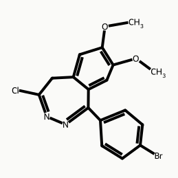 COc1cc2c(cc1OC)C(c1ccc(Br)cc1)=NN=C(Cl)C2